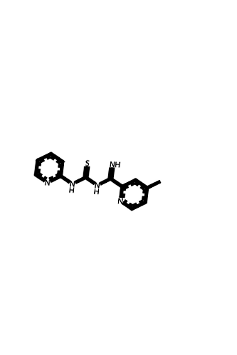 Cc1ccnc(C(=N)NC(=S)Nc2[c]cccn2)c1